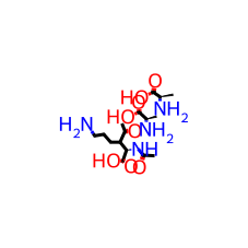 CC(=O)N[C@H](C(=O)O)C(CCCN)C(C)=O.C[C@@H](N)C(=O)O.C[C@@H](N)C(=O)O